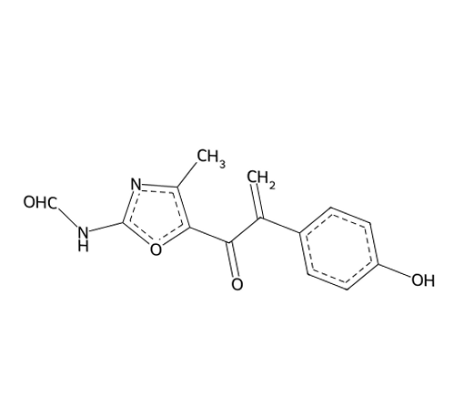 C=C(C(=O)c1oc(NC=O)nc1C)c1ccc(O)cc1